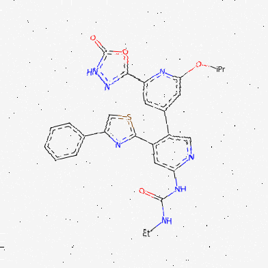 CCNC(=O)Nc1cc(-c2nc(-c3ccccc3)cs2)c(-c2cc(OC(C)C)nc(-c3n[nH]c(=O)o3)c2)cn1